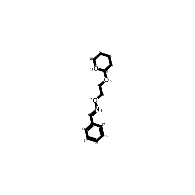 C(=N\OCCOC1CCCCO1)/c1ccccc1